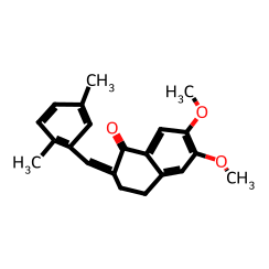 COc1cc2c(cc1OC)C(=O)C(=Cc1cc(C)ccc1C)CC2